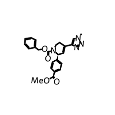 COC(=O)c1ccc([C@@H]2C=C(c3cn(C)nn3)CCN2C(=O)OCc2ccccc2)cc1